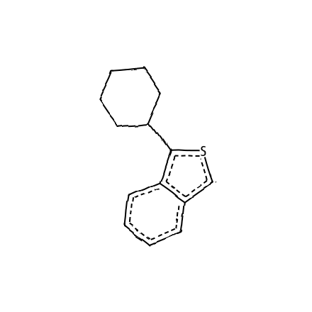 [c]1sc(C2CCCCC2)c2ccccc12